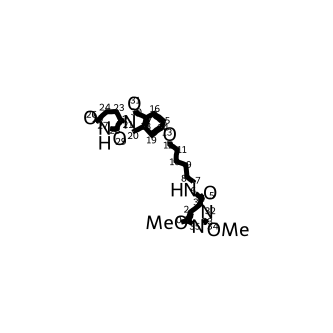 COc1cc(C(=O)NCCCCCCOc2ccc3c(c2)CN(C2CCC(=O)NC2=O)C3=O)nc(OC)n1